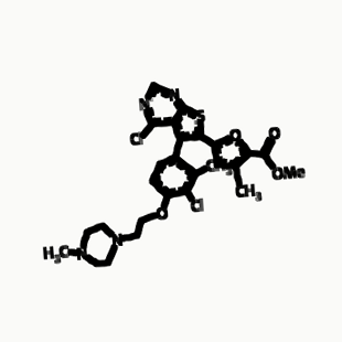 COC(=O)c1oc(-c2sc3ncnc(Cl)c3c2-c2ccc(OCCN3CCN(C)CC3)c(Cl)c2C)cc1C